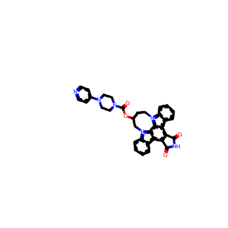 O=C1NC(=O)c2c1c1c3ccccc3n3c1c1c2c2ccccc2n1CC(OC(=O)N1CCN(c2ccncc2)CC1)CC3